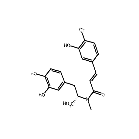 CN(C(=O)C=Cc1ccc(O)c(O)c1)[C@@H](Cc1ccc(O)c(O)c1)C(=O)O